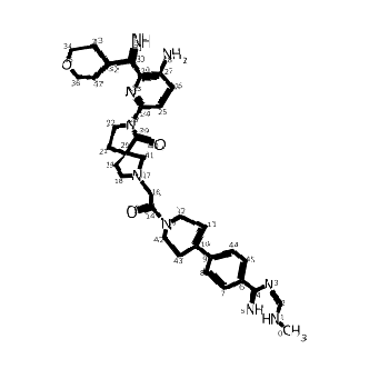 CN/C=N\C(=N)c1ccc(C2=CCN(C(=O)CN3CC[C@]4(CCN(c5ccc(N)c(C(=N)C6CCOCC6)n5)C4=O)C3)CC2)cc1